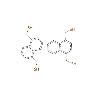 SCc1ccc(CS)c2ccccc12.SCc1cccc2c(CS)cccc12